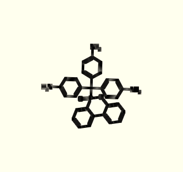 Nc1ccc(C(c2ccc(N)cc2)(c2ccc(N)cc2)P2(=O)Oc3ccccc3-c3ccccc32)cc1